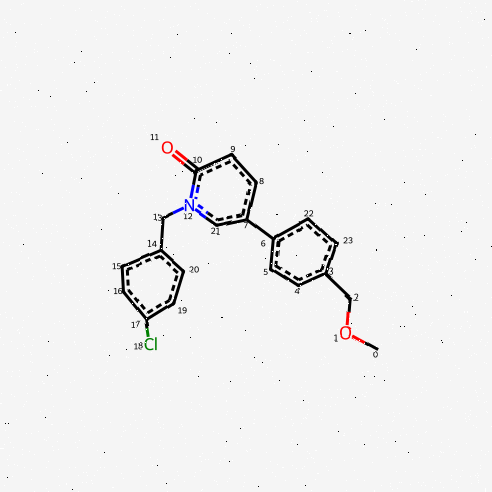 COCc1ccc(-c2ccc(=O)n(Cc3ccc(Cl)cc3)c2)cc1